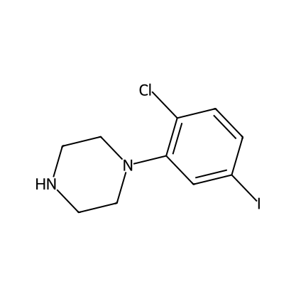 Clc1ccc(I)cc1N1CCNCC1